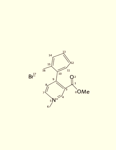 COC(=O)c1c[n+](C)ccc1-c1ccccc1C.[Br-]